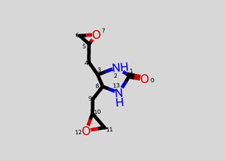 O=C1NC(CC2CO2)C(CC2CO2)N1